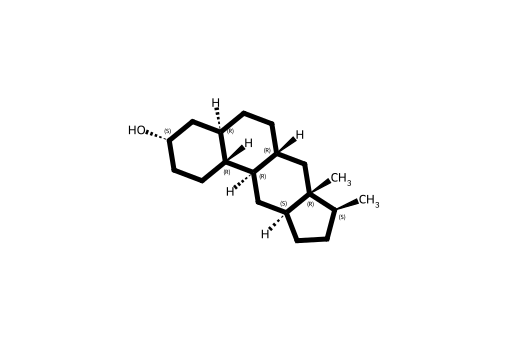 C[C@H]1CC[C@H]2C[C@@H]3[C@H](CC[C@@H]4C[C@@H](O)CC[C@H]43)C[C@@]21C